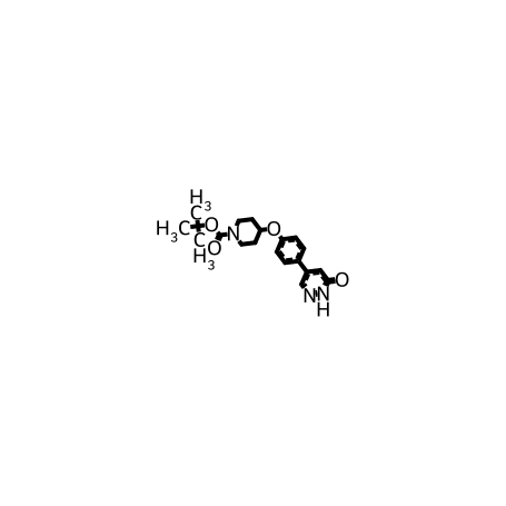 CC(C)(C)OC(=O)N1CCC(Oc2ccc(-c3cn[nH]c(=O)c3)cc2)CC1